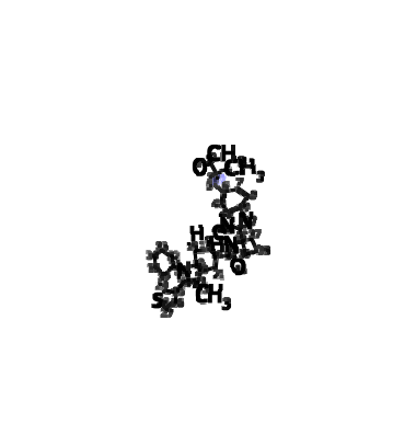 CC(=O)/C(C)=C/c1ccc2nc(C3(NC(=O)c4ccc5c(c4)c(C)c(-c4ccsc4)n5C4CCCCC4)CCC3)n(C)c2c1